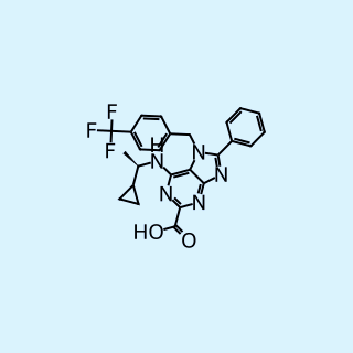 C[C@@H](Nc1nc(C(=O)O)nc2nc(-c3ccccc3)n(Cc3ccc(C(F)(F)F)cc3)c12)C1CC1